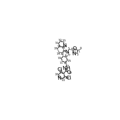 Cc1cnc(CN(Cc2cccc(CNC(=O)c3c(Cl)cncc3Cl)c2)C2CCCc3cccnc32)o1